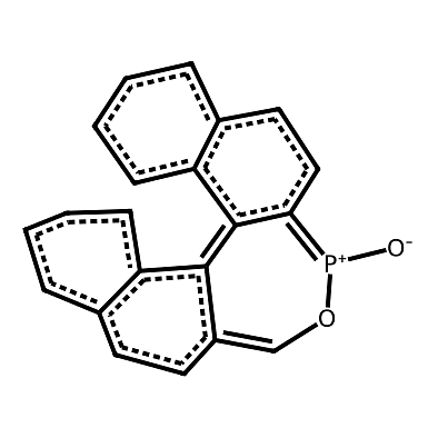 [O-][P+]1=c2ccc3ccccc3c2=c2c(ccc3ccccc23)=CO1